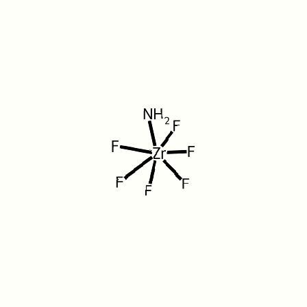 [NH2][Zr]([F])([F])([F])([F])([F])[F]